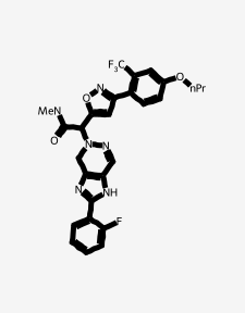 CCCOc1ccc(-c2cc(C(C(=O)NC)N3Cc4nc(-c5ccccc5F)[nH]c4C=N3)on2)c(C(F)(F)F)c1